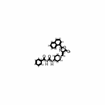 O=C(NC(=O)c1ccccc1)NC1CCN(C=C2N=C(c3cccc4ccccc34)OC2=O)CC1